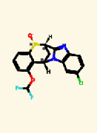 [O-][S@@+]1c2cccc(OC(F)F)c2[C@@H]2C[C@@H]1c1nc3ccc(Cl)cc3n12